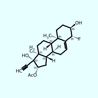 C#C[C@]1(O)[C@@H](OC(C)=O)C[C@H]2[C@@H]3CC=C4[C@@H](F)[C@H](O)CC[C@]4(C)[C@H]3CC[C@@]21C